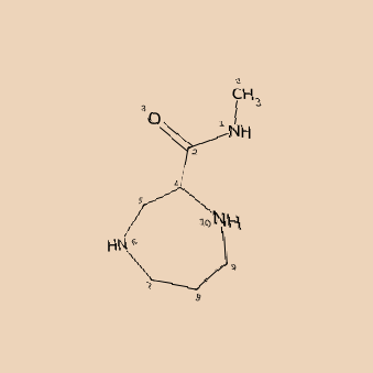 CNC(=O)C1CNCCCN1